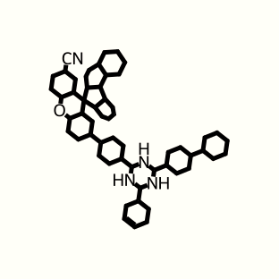 N#CC1CCC2OC3CCC(C4CCC(C5NC(C6CC=CCC6)NC(C6CCC(C7CCCCC7)CC6)N5)CC4)CC3C3(C2C1)C1CCCCC1C1C2CCCCC2CCC13